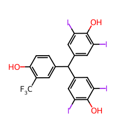 Oc1ccc(C(c2cc(I)c(O)c(I)c2)c2cc(I)c(O)c(I)c2)cc1C(F)(F)F